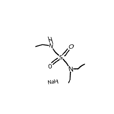 CNS(=O)(=O)N(C)C.[NaH]